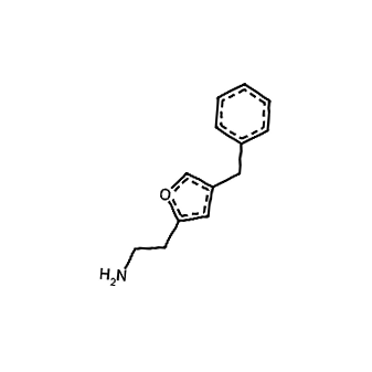 NCCc1cc(Cc2ccccc2)co1